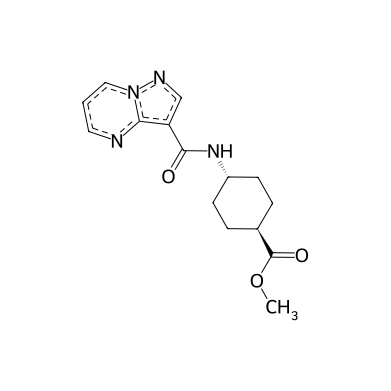 COC(=O)[C@H]1CC[C@H](NC(=O)c2cnn3cccnc23)CC1